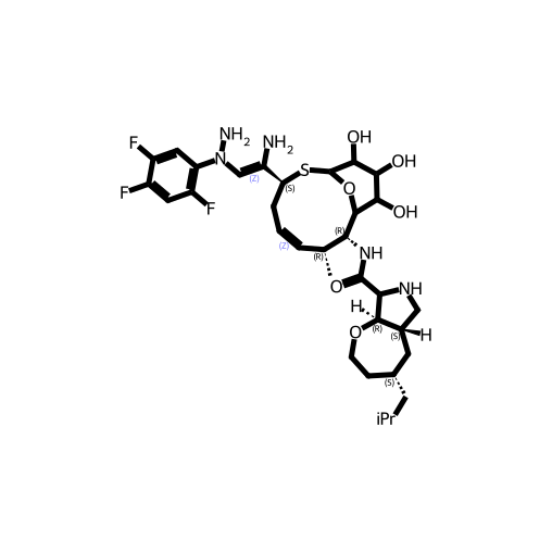 CC(C)C[C@@H]1CCO[C@H]2C(C(=O)N[C@H]3C4OC(S[C@H](/C(N)=C/N(N)c5cc(F)c(F)cc5F)C/C=C\[C@H]3C)C(O)C(O)C4O)NC[C@@H]2C1